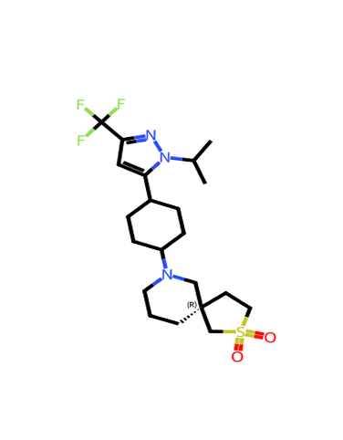 CC(C)n1nc(C(F)(F)F)cc1C1CCC(N2CCC[C@@]3(CCS(=O)(=O)C3)C2)CC1